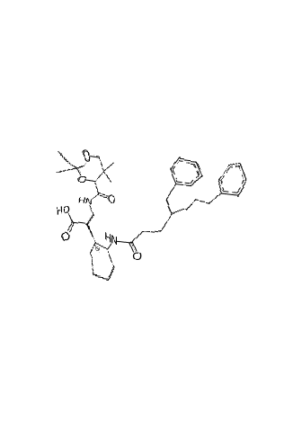 CC1(C)OCC(C)(C)C(C(=O)NCC(C(=O)O)[C@@H]2CCCCC2NC(=O)CCC(CCCc2ccccc2)Cc2ccccc2)O1